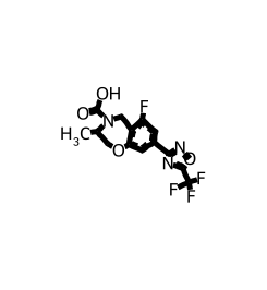 CC1COc2cc(-c3noc(C(F)(F)F)n3)cc(F)c2CN1C(=O)O